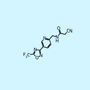 N#CCC(=O)NCc1ccc(-c2noc(C(F)(F)F)n2)cn1